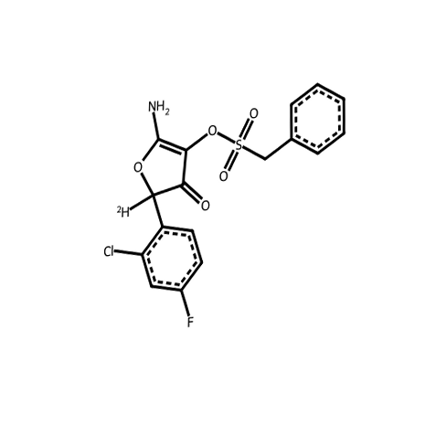 [2H]C1(c2ccc(F)cc2Cl)OC(N)=C(OS(=O)(=O)Cc2ccccc2)C1=O